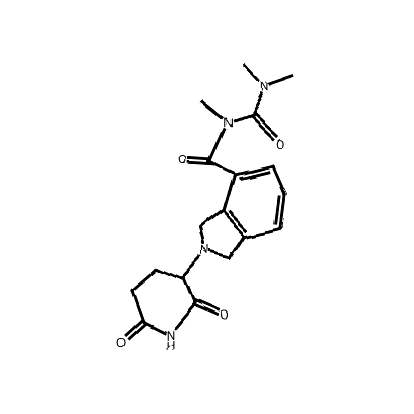 CN(C)C(=O)N(C)C(=O)c1cccc2c1CN(C1CCC(=O)NC1=O)C2